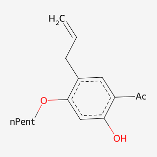 C=CCc1cc(C(C)=O)c(O)cc1OCCCCC